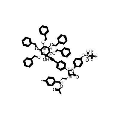 CC(=O)O[C@@H](CC[C@H]1C(=O)N(c2ccc(OS(=O)(=O)C(F)(F)F)cc2)[C@@H]1c1ccc(C#CC2(O)[C@H](OCc3ccccc3)[C@@H](OCc3ccccc3)[C@H](OCc3ccccc3)[C@@H](OCc3ccccc3)[C@@H]2OCc2ccccc2)cc1)c1ccc(F)cc1